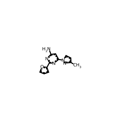 Cc1ccn(-c2cc(N)nc(-c3ccco3)n2)n1